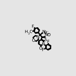 Cc1cc(C(C#N)(c2c([N+](=O)[O-])sc3c2ccc(=O)n3-c2c(F)cccc2F)N2CCOCC2)ccc1F